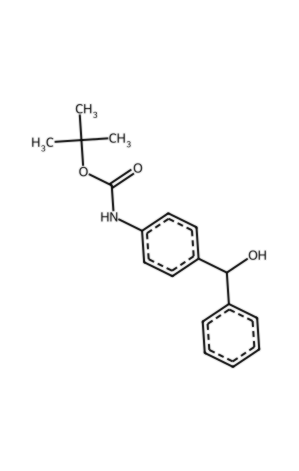 CC(C)(C)OC(=O)Nc1ccc(C(O)c2ccccc2)cc1